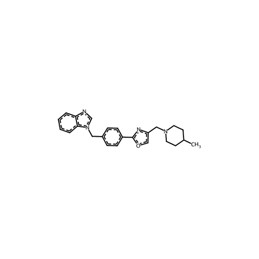 CC1CCN(Cc2coc(-c3ccc(Cn4cnc5ccccc54)cc3)n2)CC1